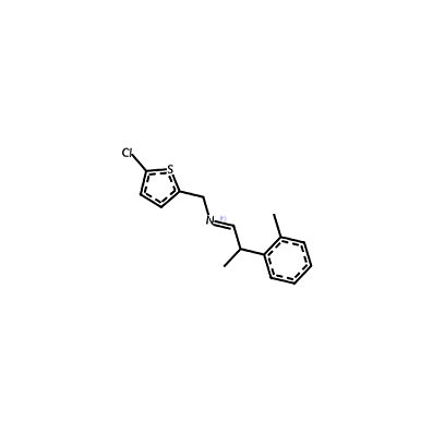 Cc1ccccc1C(C)/C=N/Cc1ccc(Cl)s1